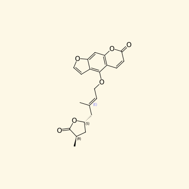 C/C(=C\COc1c2ccoc2cc2oc(=O)ccc12)C[C@@H]1C[C@@H](C)C(=O)O1